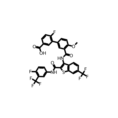 COc1ccc(-c2cc(C(=O)O)ccc2F)cc1C(=O)Nc1c(C(=O)Nc2ccc(F)c(C(F)(F)F)c2)sc2cc(C(F)(F)F)ccc12